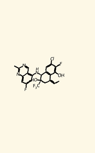 C/C=C1/C[C@@](O)(C(F)(F)F)[C@@H](Nc2cc(F)cc3nc(C)ncc23)c2cc(Cl)c(F)c(O)c21